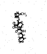 Cn1nnnc1SCC1=C(C(=O)O)N2C(=O)C(NC(=O)CC3=CSCSC3)C2SC1